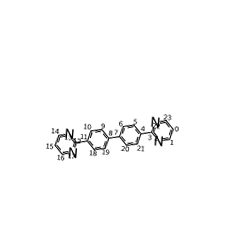 c1cnc(-c2ccc(-c3ccc(-c4ncccn4)cc3)cc2)nc1